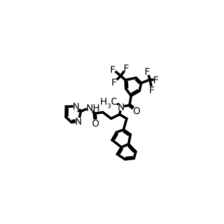 CN(C(=O)c1cc(C(F)(F)F)cc(C(F)(F)F)c1)C(CCC(=O)Nc1ncccn1)Cc1ccc2ccccc2c1